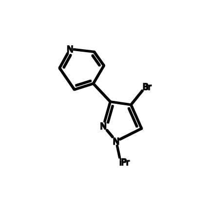 CC(C)n1cc(Br)c(-c2ccncc2)n1